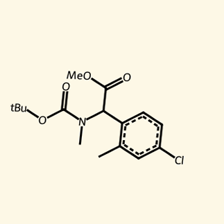 COC(=O)C(c1ccc(Cl)cc1C)N(C)C(=O)OC(C)(C)C